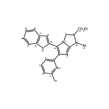 CCOC(=O)C1Cn2c(nc(-c3cccc(C)n3)c2-c2cc3cnccc3s2)N1C(C)=O